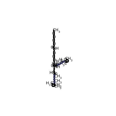 CCCOCCOCCOCCOCCC(=O)NCCCOCCOCCOCCCNC(=O)[C@H](CCCCNC(=O)/C=C(C)/C=C/C=C(C)/C=C/C1=C(C)CCCC1(C)C)NC(=O)/C=C(C)/C=C/C=C(C)/C=C/C1=C(C)CCCC1(C)C